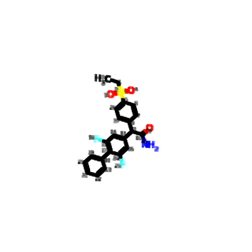 CCS(=O)(=O)c1ccc(C(C(N)=O)c2cc(F)c(-c3ccccc3)c(F)c2)cc1